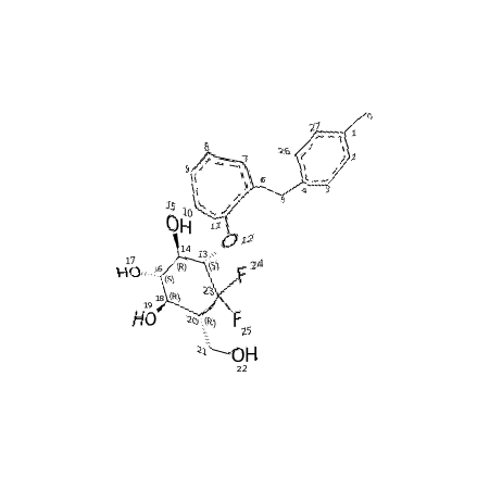 Cc1ccc(Cc2ccccc2O[C@H]2[C@H](O)[C@@H](O)[C@H](O)[C@@H](CO)C2(F)F)cc1